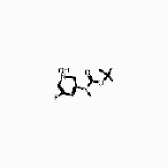 CN(C(=O)OC(C)(C)C)C1=CC(F)=CN(O)C1